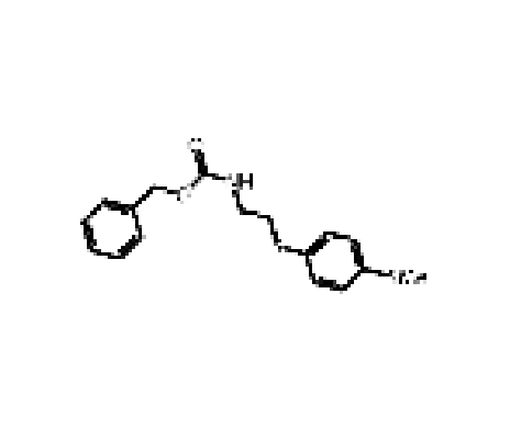 CSc1ccc(SCCNC(=O)OCc2ccccc2)cc1